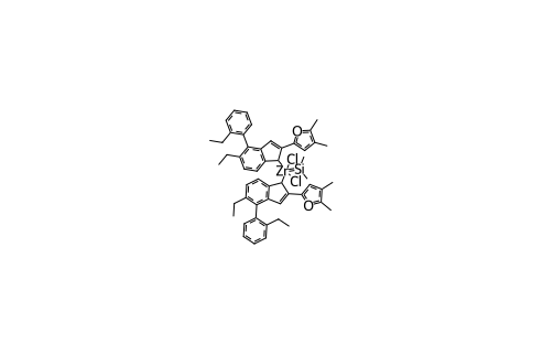 CCc1ccccc1-c1c(CC)ccc2c1C=C(c1cc(C)c(C)o1)[CH]2[Zr]([Cl])([Cl])([CH]1C(c2cc(C)c(C)o2)=Cc2c1ccc(CC)c2-c1ccccc1CC)=[Si](C)C